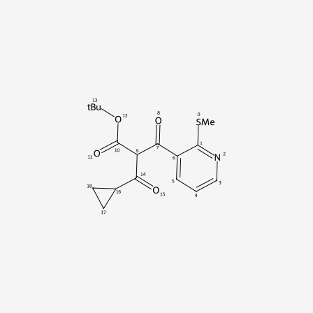 CSc1ncccc1C(=O)C(C(=O)OC(C)(C)C)C(=O)C1CC1